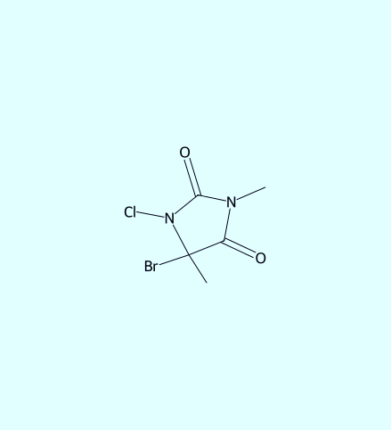 CN1C(=O)N(Cl)C(C)(Br)C1=O